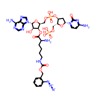 [N-]=[N+]=Nc1ccccc1COC(=O)NCCCCC(N)C(=O)O[C@H]1[C@@H](O)[C@H](n2cnc3c(N)ncnc32)O[C@H]1COP(=O)(O)O[C@H]1C[C@H](n2ccc(N)nc2=O)O[C@@H]1COP(=O)(O)O